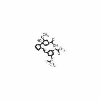 COC1=CC(C(=O)O)C=CC1(O)c1ccccc1/C=C/c1cc(OC(C)=O)cc(OC(C)=O)c1